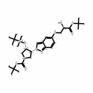 CC(C)(C)OC(=O)[C@H](O)COc1ccc2nn([C@@H]3CN(C(=O)OC(C)(C)C)C[C@@H]3O[Si](C)(C)C(C)(C)C)cc2c1